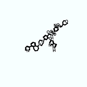 O=C(NS(=O)(=O)c1ccc(NCC2CCOCC2)c([N+](=O)[O-])c1)c1ccc(N2CCN(C3CCCCc4c(-c5cccnc5)cccc43)CC2)cc1Oc1cnc2[nH]ccc2c1